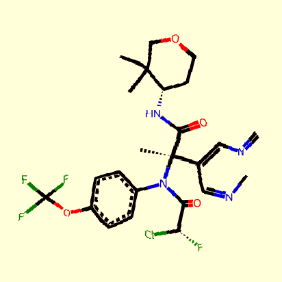 C=N/C=C(\C=N/C)[C@](C)(C(=O)N[C@H]1CCOCC1(C)C)N(C(=O)[C@H](F)Cl)c1ccc(OC(F)(F)F)cc1